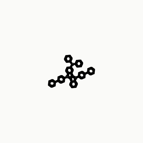 c1ccc(-c2ccc(-n3c4ccc(N(c5ccccc5)c5ccccc5)cc4c4c3c3ccccc3n4-c3ccc(-c4ccccc4)cc3)cc2)cc1